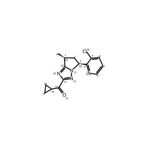 C[C@H]1C[C@@H](c2ncccc2Cl)n2nc(C(=O)C3CC3)nc21